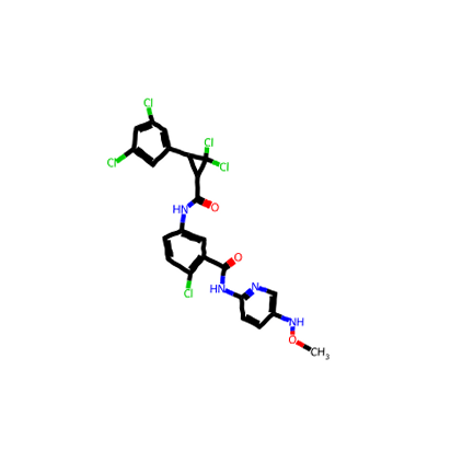 CONc1ccc(NC(=O)c2cc(NC(=O)C3C(c4cc(Cl)cc(Cl)c4)C3(Cl)Cl)ccc2Cl)nc1